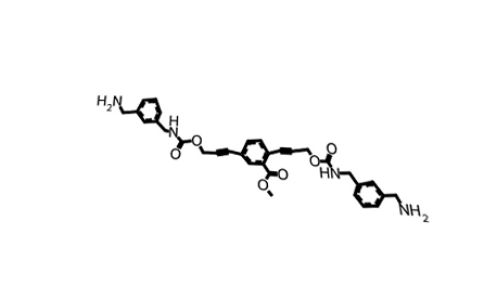 COC(=O)c1cc(C#CCOC(=O)NCc2cccc(CN)c2)ccc1C#CCOC(=O)NCc1cccc(CN)c1